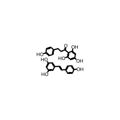 O=C(CCc1ccc(O)cc1)c1c(O)cc(O)cc1O.Oc1ccc(C=Cc2cc(O)cc(O)c2)cc1